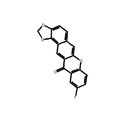 O=c1c2cc(F)ccc2oc2cc3ccc4c(c3cc12)OCO4